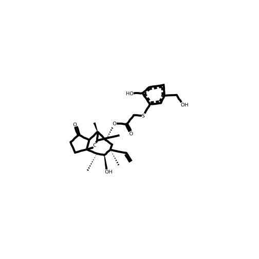 C=C[C@]1(C)C[C@@H](OC(=O)CSc2cc(CO)ccc2O)[C@]2(C)C(C)CCC3(CCC(=O)C32)[C@@H](C)[C@@H]1O